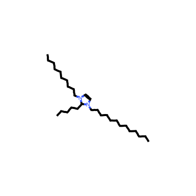 CCCCCCCCCCCCCN1C=CN(CCCCCCCCCC)C1CCCCC